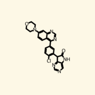 O=C1Nc2cncnc2C1c1cc(-c2ncnc3cc(N4CCOCC4)ccc23)ccc1Cl